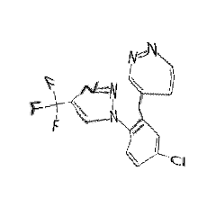 FC(F)(F)c1cn(-c2ccc(Cl)cc2-c2ccnnc2)nn1